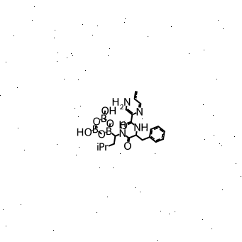 C=C/C=N\C(=C/N)C(=O)NC(Cc1ccccc1)C(=O)NC(CC(C)C)B1OB(O)OB(O)O1